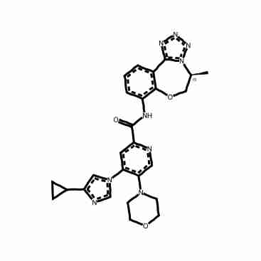 C[C@H]1COc2c(NC(=O)c3cc(-n4cnc(C5CC5)c4)c(N4CCOCC4)cn3)cccc2-c2nnnn21